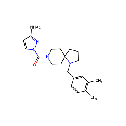 CC(=O)Nc1ccn(C(=O)N2CCC3(CCCN3Cc3ccc(C(F)(F)F)c(C)c3)CC2)n1